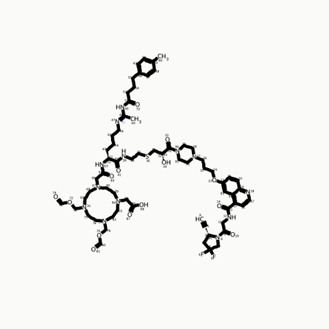 C#C[C@H]1CC(F)(F)CN1C(=O)CNC(=O)c1ccnc2ccc(OCCCN3CCN(C(=O)[C@H](O)CSCCNC(=O)[C@H](CCCC/N=C(\C)NC(=O)CCCc4ccc(C)cc4)NC(=O)CN4CCN(COC=O)CCN(COC=O)CCN(CC(=O)O)CC4)CC3)cc12